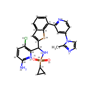 Cc1nccn1-c1ccnc(-c2cccc3cc(C(NS(=O)(=O)C4CC4)c4nc(N)ccc4Cl)sc23)c1